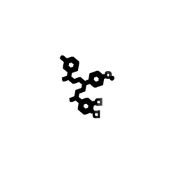 COc1ccc(C(CCC(C)c2cccc(C)c2)CCC(C)c2ccc(Cl)c(Cl)c2)cc1